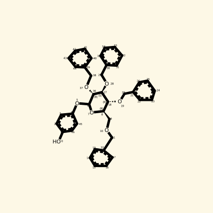 Oc1ccc(OC2O[C@H](COCc3ccccc3)[C@@H](OCc3ccccc3)[C@H](OCc3ccccc3)[C@H]2OCc2ccccc2)cc1